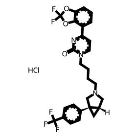 Cl.O=c1nc(-c2cccc3c2OC(F)(F)O3)ccn1CCCCN1C[C@@H]2C[C@]2(c2ccc(C(F)(F)F)cc2)C1